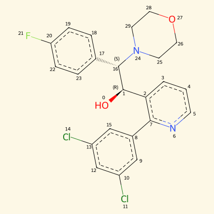 O[C@H](c1cccnc1-c1cc(Cl)cc(Cl)c1)[C@H](c1ccc(F)cc1)N1CCOCC1